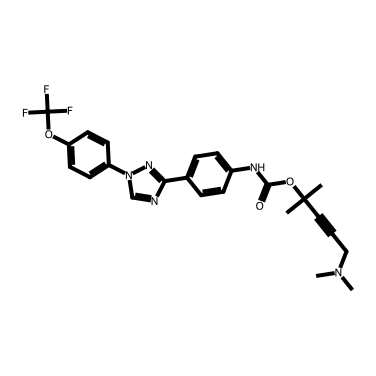 CN(C)CC#CC(C)(C)OC(=O)Nc1ccc(-c2ncn(-c3ccc(OC(F)(F)F)cc3)n2)cc1